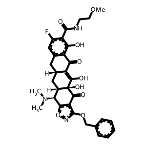 COCCNC(=O)c1c(F)cc2c(c1O)C(=O)C1=C(O)[C@]3(O)C(=O)c4c(OCc5ccccc5)noc4[C@@H](N(C)C)[C@@H]3C[C@@H]1C2